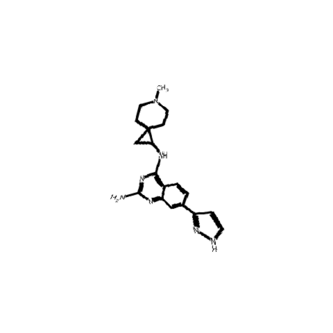 CN1CCC2(CC1)CC2Nc1nc(N)nc2cc(-c3cc[nH]n3)ccc12